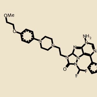 COCCOc1ccc(N2CCN(CCN3C(=O)N(C(F)F)N4C5=C(c6ccco6)N=CN(N)C5=NC34)CC2)cc1